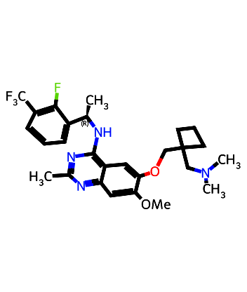 COc1cc2nc(C)nc(N[C@H](C)c3cccc(C(F)(F)F)c3F)c2cc1OCC1(CN(C)C)CCC1